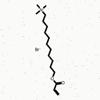 C=CC(=O)OCCCCCCCCCCC[N+](C)(C)C.[Br-]